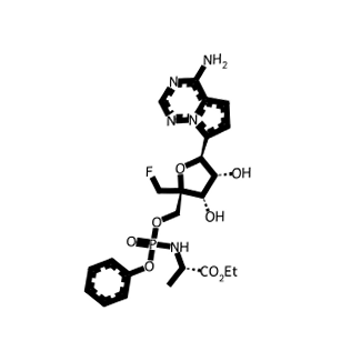 CCOC(=O)[C@H](C)NP(=O)(OC[C@@]1(CF)O[C@@H](c2ccc3c(N)ncnn23)[C@H](O)[C@@H]1O)Oc1ccccc1